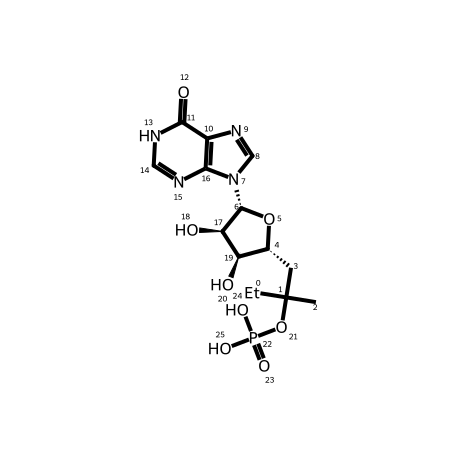 CCC(C)(C[C@H]1O[C@@H](n2cnc3c(=O)[nH]cnc32)[C@H](O)[C@@H]1O)OP(=O)(O)O